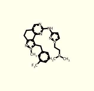 CN(C)CCn1ccc(Nc2ncc3c(n2)-c2c(nn(C)c2Cc2cccc(C(F)(F)F)c2)CC3)n1